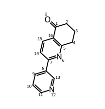 O=C1CCCc2nc(-c3cccnc3)ccc21